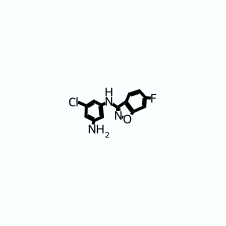 Nc1cc(Cl)cc(Nc2noc3cc(F)ccc23)c1